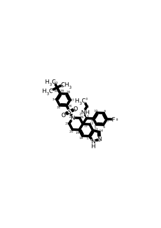 CCN[C@@H](c1ccc(F)cc1)C12Cc3cn[nH]c3C=C1CCN(S(=O)(=O)c1ccc(C(C)(C)C)cc1)C2